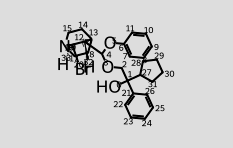 OC(COC(Oc1ccccc1)[C@H]1C2CCN(CC2)[C@@H]1Br)(c1ccccc1)C1CCCC1